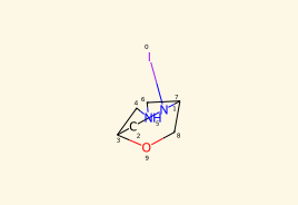 IN1CC2CNCC1CO2